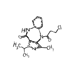 Cc1nn(C(C)C)c2c1N(C(=O)CCCl)c1ccccc1NC2=O